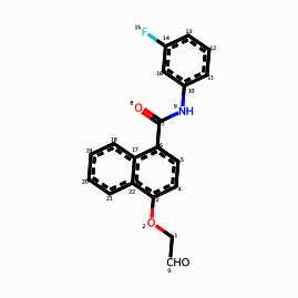 O=CCOc1ccc(C(=O)Nc2cccc(F)c2)c2ccccc12